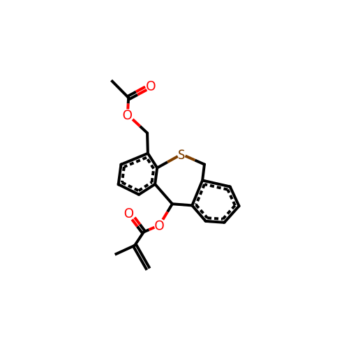 C=C(C)C(=O)OC1c2ccccc2CSc2c(COC(C)=O)cccc21